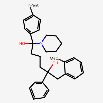 CCCCCc1ccc(C(O)(CCCC(O)(Cc2ccccc2OC)c2ccccc2)N2CCCCC2)cc1